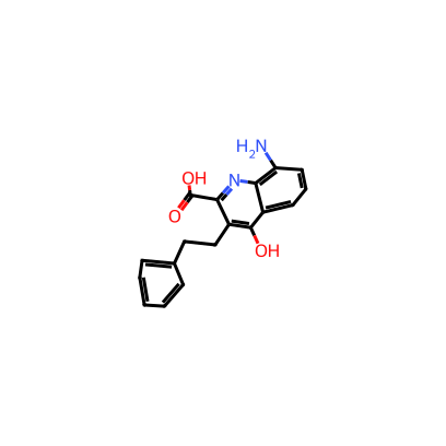 Nc1cccc2c(O)c(CCc3ccccc3)c(C(=O)O)nc12